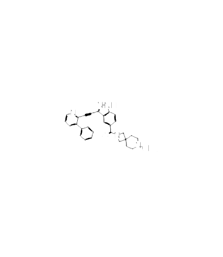 CN1CCC2(CC1)CN(C(=O)c1ccc3[nH]nc(C#Cc4ncccc4-c4ccccc4)c3c1)C2